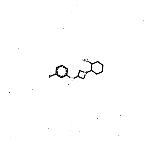 OC1CCCCC1N1CC(Oc2cccc(F)c2)C1